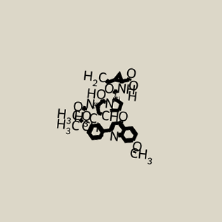 C=CC1CC1(NC(=O)[C@@H]1CC(Oc2cc(-c3ccccc3)nc3cc(OC)ccc23)CN1C(=O)[C@@H](NC(=O)OC(C)(C)C)C(C)C)C(=O)O